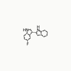 Fc1ccc2[nH]cc(-c3cc4ccccc4[nH]3)c2c1